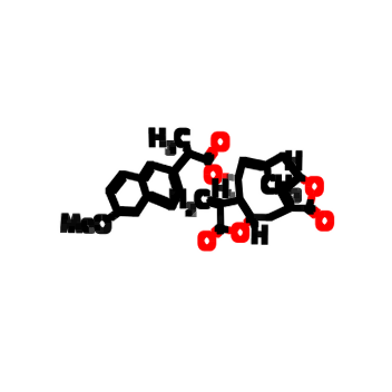 C=C1C(=O)O[C@H]2CC3=C[C@@H](C/C(C)=C/[C@@H](OC(=O)[C@H](C)c4ccc5cc(OC)ccc5c4)[C@H]12)OC3=O